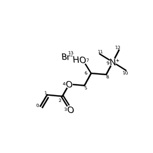 C=CC(=O)OCC(O)C[N+](C)(C)C.[Br-]